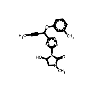 CC#CC(Oc1cccc(C)c1)c1nnc(N2C(=O)N(C)CC2O)s1